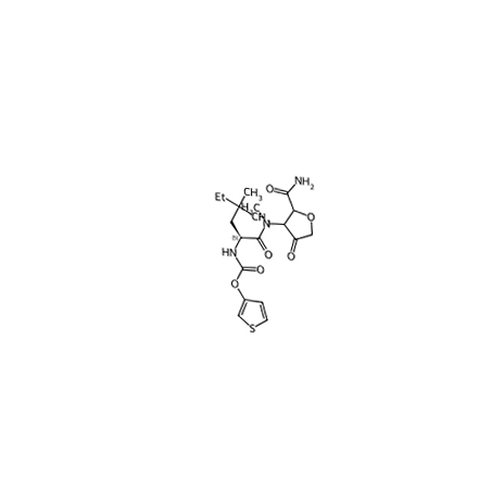 CCC(C)(C)C[C@H](NC(=O)Oc1ccsc1)C(=O)N(C)C1C(=O)COC1C(N)=O